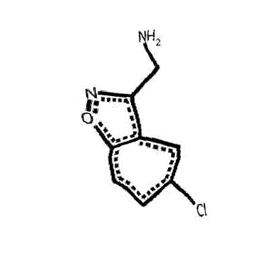 NCc1noc2ccc(Cl)cc12